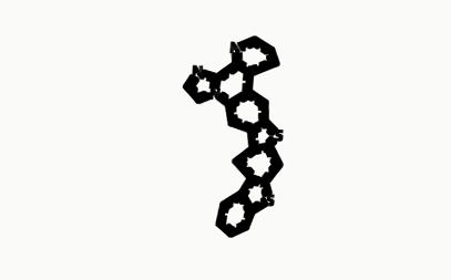 c1ccc2c(c1)sc1cc3sc4cc5c6cccnc6c6nccn6c5cc4c3cc12